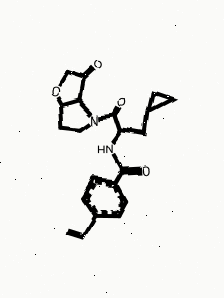 C=Cc1ccc(C(=O)NC(CC2CC2)C(=O)N2CCC3OCC(=O)C32)cc1